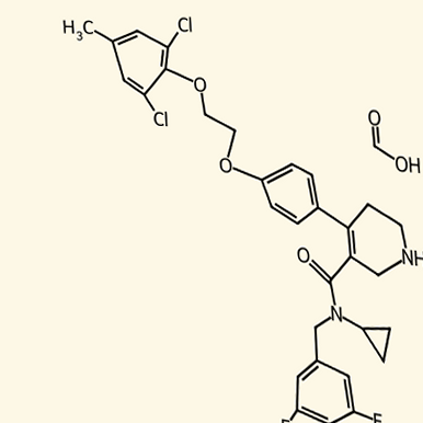 Cc1cc(Cl)c(OCCOc2ccc(C3=C(C(=O)N(Cc4cc(F)cc(F)c4)C4CC4)CNCC3)cc2)c(Cl)c1.O=CO